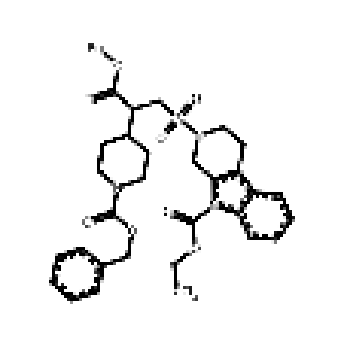 CC(C)(C)OC(=O)C(CS(=O)(=O)N1CCc2c(n(C(=O)OCC(Cl)(Cl)Cl)c3ccccc23)C1)C1CCN(C(=O)OCc2ccccc2)CC1